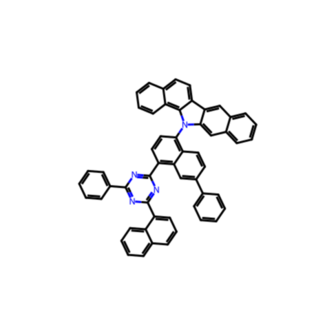 c1ccc(-c2ccc3c(-n4c5cc6ccccc6cc5c5ccc6ccccc6c54)ccc(-c4nc(-c5ccccc5)nc(-c5cccc6ccccc56)n4)c3c2)cc1